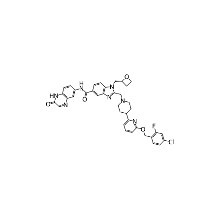 O=C(Nc1ccc2[nH]c(=O)cnc2c1)c1ccc2c(c1)nc(CN1CCC(c3cccc(OCc4ccc(Cl)cc4F)n3)CC1)n2C[C@@H]1CCO1